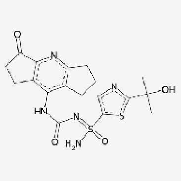 CC(C)(O)c1ncc(S(N)(=O)=NC(=O)Nc2c3c(nc4c2CCC4=O)CCC3)s1